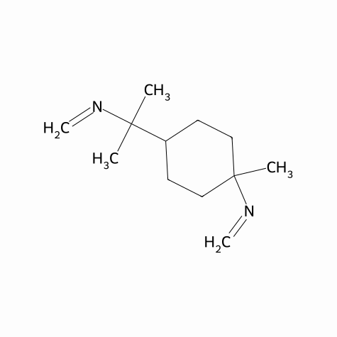 C=NC1(C)CCC(C(C)(C)N=C)CC1